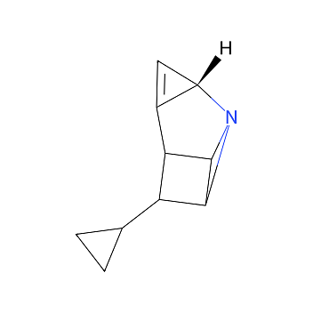 C1=C2C3C(C4CC4)C4C3N4[C@@H]12